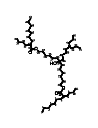 CCCCCCCC(CCCC)C(=O)OCCCCCCC(O)(CCCCCCOC(=O)C(CCCC)CCCCCCC)CCCCN(CCC)CCC